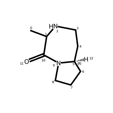 CC1NCC[C@H]2CCCN2C1=O